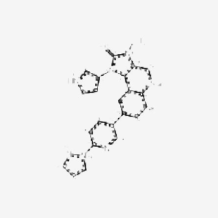 Cn1c(=O)n(-c2cc[nH]c2)c2c3cc(-c4ccc(-n5cccn5)nc4)ccc3ncc21